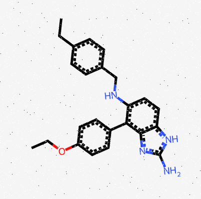 CCOc1ccc(-c2c(NCc3ccc(CC)cc3)ccc3[nH]c(N)nc23)cc1